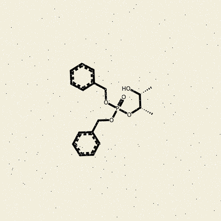 C[C@H](OP(=O)(OCc1ccccc1)OCc1ccccc1)[C@@H](C)O